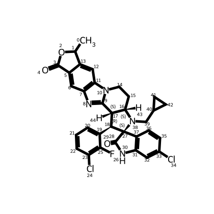 CC1OC(=O)c2cc3nc4n(c3cc21)CC[C@H]1[C@@H]4[C@H](c2cccc(Cl)c2F)[C@]2(C(=O)Nc3cc(Cl)ccc32)N1CC1CC1